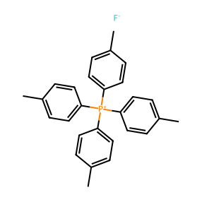 Cc1ccc([P+](c2ccc(C)cc2)(c2ccc(C)cc2)c2ccc(C)cc2)cc1.[F-]